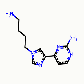 NCCCCn1cnc(-c2ccnc(N)n2)c1